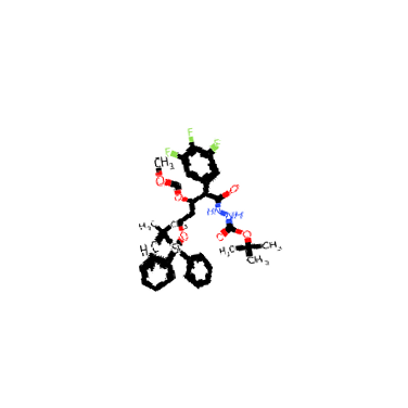 COCOC(CCO[Si](c1ccccc1)(c1ccccc1)C(C)(C)C)C(C(=O)NNC(=O)OC(C)(C)C)c1cc(F)c(F)c(F)c1